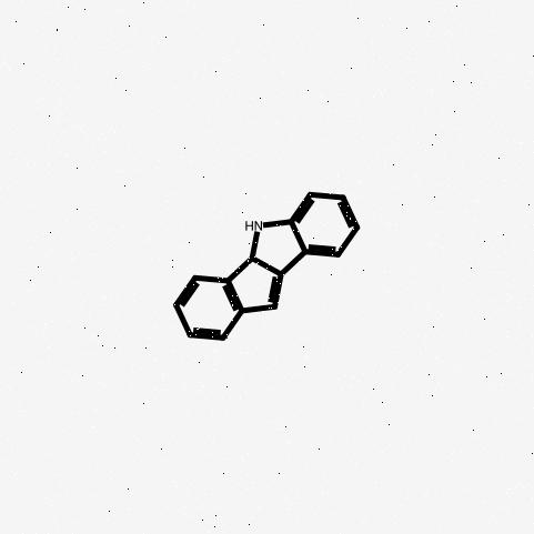 [c]1cccc2c1C=C1c3ccccc3NC12